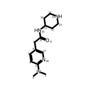 CN(C)c1ccc(CC(=O)NC2CCNCC2)cn1